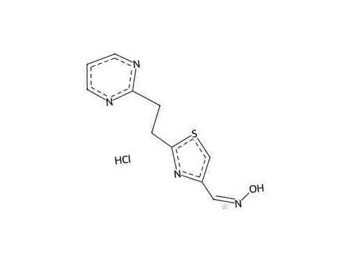 Cl.O/N=C\c1csc(CCc2ncccn2)n1